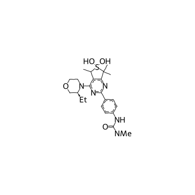 CC[C@H]1COCCN1c1nc(-c2ccc(NC(=O)NC)cc2)nc2c1C(C)S(O)(O)C2(C)C